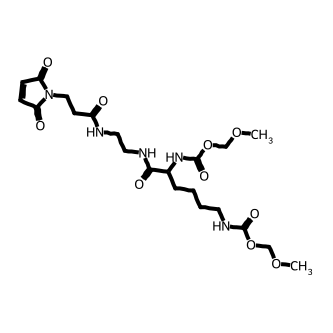 COCOC(=O)NCCCCC(NC(=O)OCOC)C(=O)NCCNC(=O)CCN1C(=O)C=CC1=O